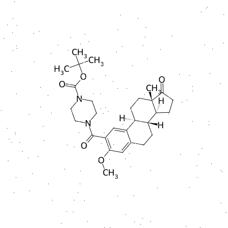 COc1cc2c(cc1C(=O)N1CCN(C(=O)OC(C)(C)C)CC1)[C@H]1CC[C@]3(C)C(=O)CC[C@H]3[C@@H]1CC2